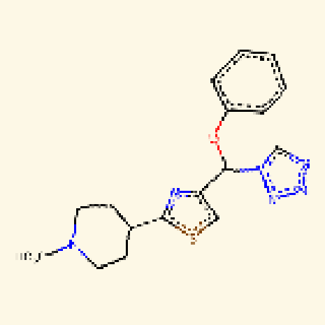 O=C(O)N1CCC(c2nc(C(Oc3ccccc3)n3cnnn3)cs2)CC1